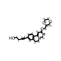 OCCC#Cc1ccc2c(c1)CCN1CN=C(OCC3COCCO3)C=C21